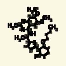 CCCCOc1cccc(F)c1-c1ccc(C(C)Nc2nc(C)nc3cc(OC)c(OC)cc23)s1